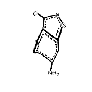 Nc1ccc2c(Cl)nsc2c1